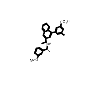 COc1cccc([C@@H](C)NC(C)c2cc(-c3cc(C)cc(C(=O)O)c3)c3ccccc3c2)c1